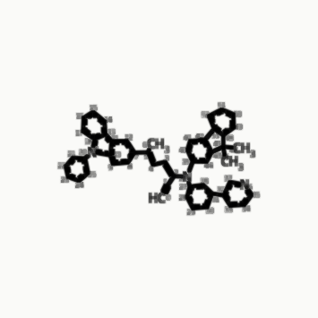 C#C/C(=C\C=C(/C)c1ccc2c(c1)c1ccccc1n2-c1ccccc1)N(c1cccc(-c2cccnc2)c1)c1ccc2c(c1)C(C)(C)c1ccccc1-2